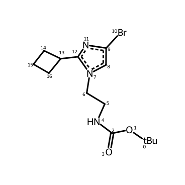 CC(C)(C)OC(=O)NCCn1cc(Br)nc1C1CCC1